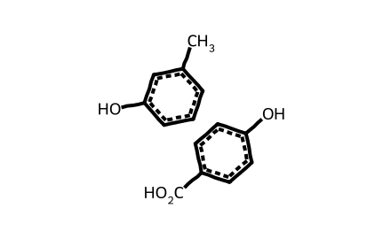 Cc1cccc(O)c1.O=C(O)c1ccc(O)cc1